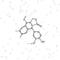 COc1cc(-c2c3c(c(OC)c4cc(C)c(C)cc24)COC3=O)ccc1O